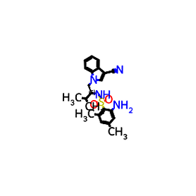 Cc1cc(C)c(S(=O)(=O)N[C@H](Cn2cc(C#N)c3ccccc32)C(C)C)c(N)c1